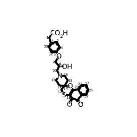 O=C(O)Cc1ccc(OC[C@H](O)CN2CCC3(CC2)CSC2=C(O3)c3ccccc3C(=O)C2=O)cc1